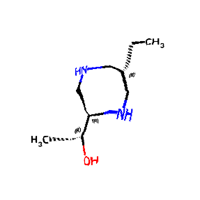 CC[C@@H]1CN[C@@H]([C@@H](C)O)CN1